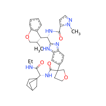 CCNC(=O)[C@H](NC(=O)C1(c2ccc3nc([C@@H](NC(=O)c4ccnn4C)[C@H]4c5ccccc5OCC4C)[nH]c3c2)CCOC1)C12CCC(C1)C2